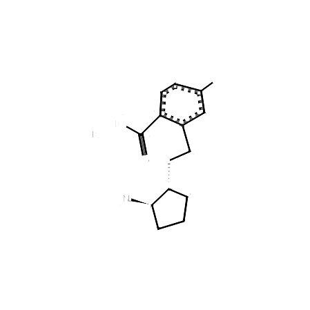 Cl.N[C@@H]1CCC[C@H]1CCc1cc(Cl)ccc1C(=O)O